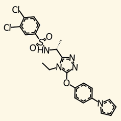 CCn1c(Oc2ccc(-n3cccc3)cc2)nnc1[C@@H](C)NS(=O)(=O)c1ccc(Cl)c(Cl)c1